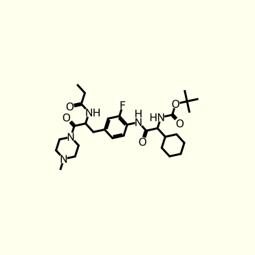 CCC(=O)NC(Cc1ccc(NC(=O)C(NC(=O)OC(C)(C)C)C2CCCCC2)c(F)c1)C(=O)N1CCN(C)CC1